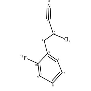 N#CC(Cl)Cc1ccccc1F